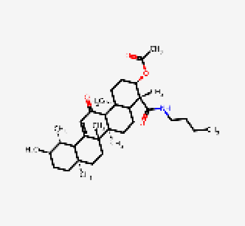 CCCCNC(=O)[C@]1(C)C2CC[C@]3(C)C(C(=O)C=C4C5[C@@H](C)[C@H](C)CC[C@]5(C)CC[C@]43C)[C@@]2(C)CC[C@H]1OC(C)=O